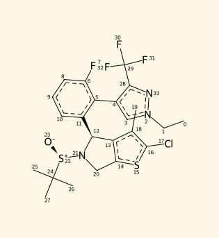 CCn1cc(-c2c(F)cccc2[C@H]2c3c(sc(Cl)c3C)CN2[S@+]([O-])C(C)(C)C)c(C(F)(F)F)n1